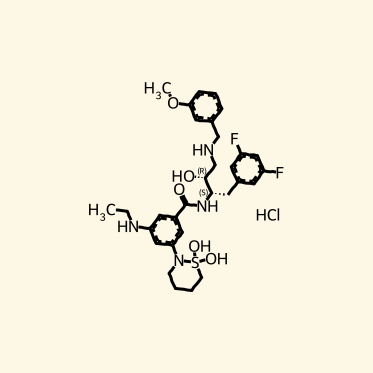 CCNc1cc(C(=O)N[C@@H](Cc2cc(F)cc(F)c2)[C@H](O)CNCc2cccc(OC)c2)cc(N2CCCCS2(O)O)c1.Cl